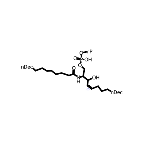 CCCCCCCCCCCCC/C=C\C(O)C(COP(=O)(O)OCCC)NC(=O)CCCCCCCCCCCCCCCCC